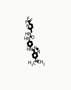 CN(C)c1ccc2c(Nc3ccc(NC(=O)NCc4ccc(C(F)(F)F)nc4)cc3)ncnc2c1